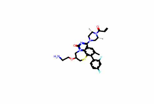 C=CC(=O)N1[C@H](C)CN(c2nc(=O)n3c4c(c(-c5ccc(F)cc5F)c(C)cc24)SCC(OCCN)C3)C[C@@H]1C